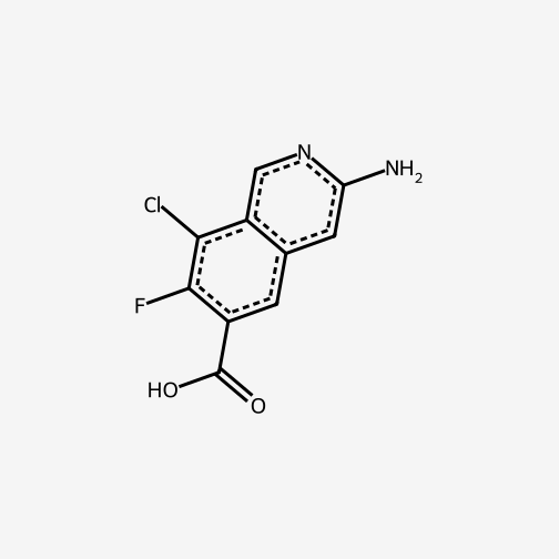 Nc1cc2cc(C(=O)O)c(F)c(Cl)c2cn1